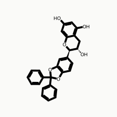 Oc1cc(O)c2c(c1)O[C@H](c1ccc3c(c1)OC(c1ccccc1)(c1ccccc1)O3)[C@@H](O)C2